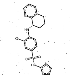 O=S(=O)(Nc1nccs1)c1ccc(N[C@H]2CCCc3cccnc32)c(Cl)c1